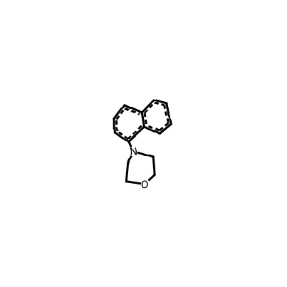 c1ccc2c(N3CCOCC3)cccc2c1